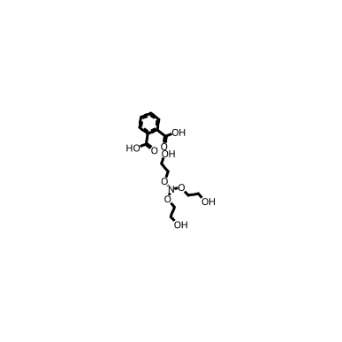 O=C(O)c1ccccc1C(=O)O.OCCON(OCCO)OCCO